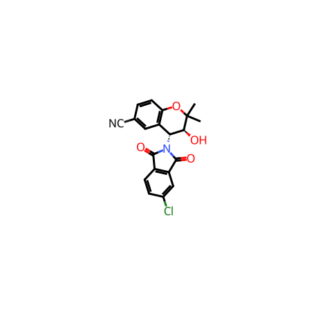 CC1(C)Oc2ccc(C#N)cc2[C@@H](N2C(=O)c3ccc(Cl)cc3C2=O)[C@@H]1O